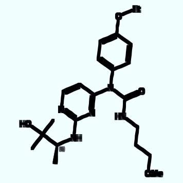 CCOc1ccc(N(C(=O)NCCCOC)c2ccnc(N[C@@H](C)C(C)(C)O)n2)cc1